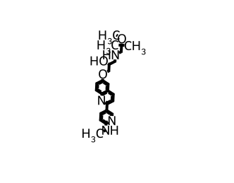 CNc1ccc(-c2ccc3cc(OCC(O)CNCC(C)(C)OC)ccc3n2)cn1